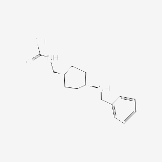 O=C(O)NC[C@H]1CC[C@@H](NCc2ccccc2)CC1